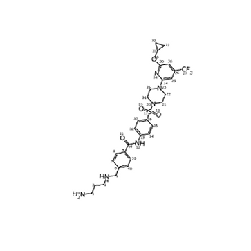 NCCCNCc1ccc(C(=O)Nc2ccc(S(=O)(=O)N3CCN(c4cc(C(F)(F)F)cc(OC5CC5)n4)CC3)cc2)cc1